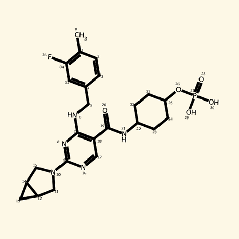 Cc1ccc(CNc2nc(N3CC4CC4C3)ncc2C(=O)NC2CCC(OP(=O)(O)O)CC2)cc1F